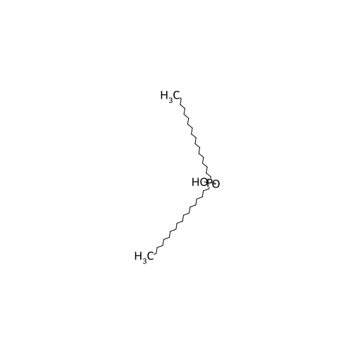 CCCCCCCCCCCCCCCCCCP(=O)(O)CCCCCCCCCCCCCCCCCC